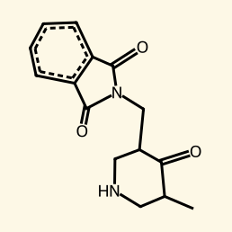 CC1CNCC(CN2C(=O)c3ccccc3C2=O)C1=O